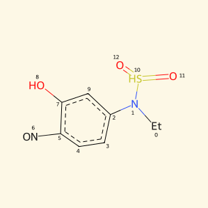 CCN(c1ccc(N=O)c(O)c1)[SH](=O)=O